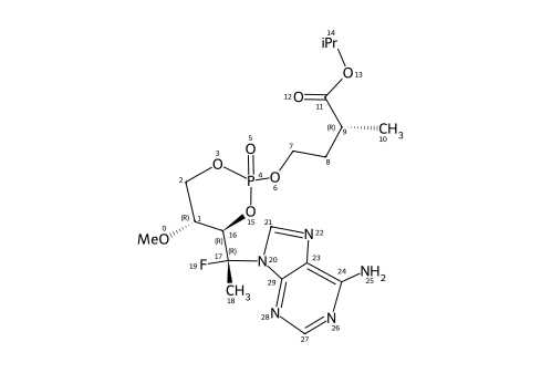 CO[C@@H]1COP(=O)(OCC[C@@H](C)C(=O)OC(C)C)O[C@H]1[C@@](C)(F)n1cnc2c(N)ncnc21